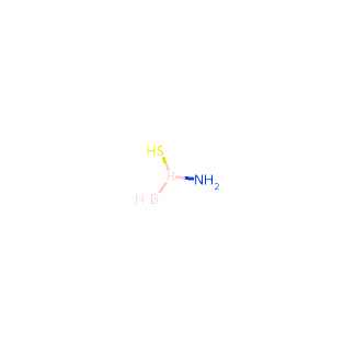 BB(N)S